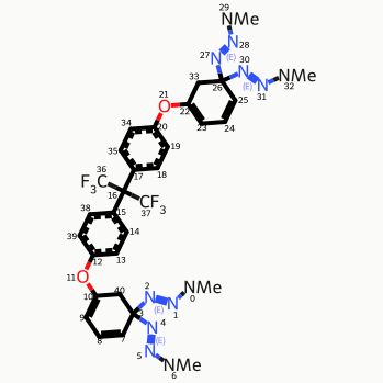 CN/N=N/C1(/N=N/NC)C=CC=C(Oc2ccc(C(c3ccc(OC4=CC=CC(/N=N/NC)(/N=N/NC)C4)cc3)(C(F)(F)F)C(F)(F)F)cc2)C1